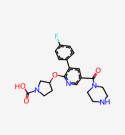 O=C(O)N1CCC(Oc2ncc(C(=O)N3CCNCC3)cc2-c2ccc(F)cc2)C1